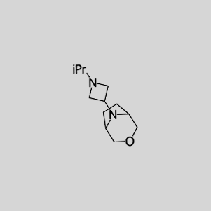 CC(C)N1CC(N2C3CCC2COC3)C1